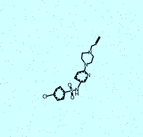 C=CCN1CCN(c2ccc(NS(=O)(=O)c3ccc(Cl)cc3)cn2)CC1